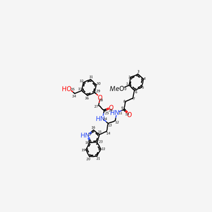 COc1ccccc1CCC(=O)NCC(Cc1c[nH]c2ccccc12)NC(=O)COc1cccc(CO)c1